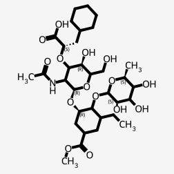 CCC1CC(C(=O)OC)C[C@@H](O[C@@H]2OC(CO)[C@H](O)C(O[C@@H](CC3CCCCC3)C(=O)O)C2NC(C)=O)C1OC1O[C@@H](C)C(O)C(O)[C@@H]1O